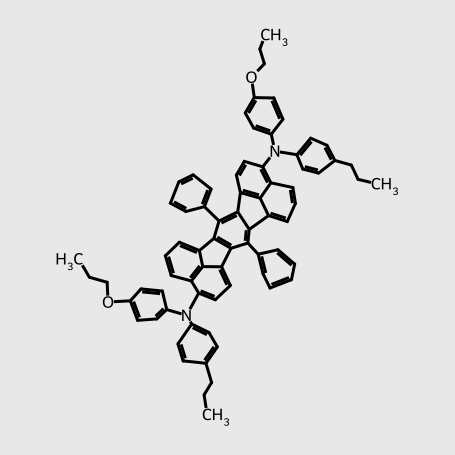 CCCOc1ccc(N(c2ccc(CCC)cc2)c2ccc3c4c(-c5ccccc5)c5c6cccc7c(N(c8ccc(CCC)cc8)c8ccc(OCCC)cc8)ccc(c5c(-c5ccccc5)c4c4cccc2c43)c76)cc1